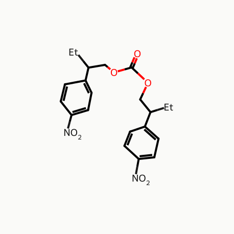 CCC(COC(=O)OCC(CC)c1ccc([N+](=O)[O-])cc1)c1ccc([N+](=O)[O-])cc1